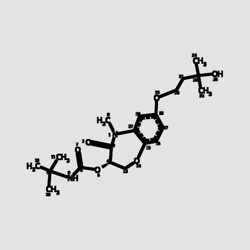 CN1C(=O)[C@@H](OC(=O)NC(C)(C)C)COc2ccc(OCCC(C)(C)O)cc21